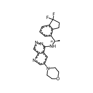 C[C@@H](Nc1nncc2ncc(N3CCOCC3)cc12)c1cccc2c1CCC2(F)F